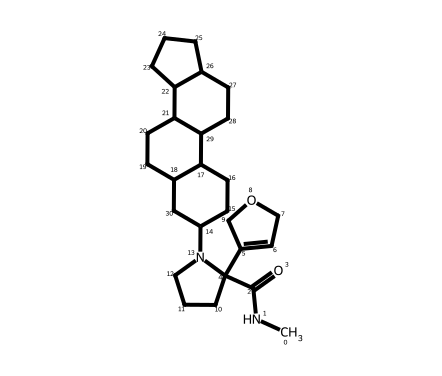 CNC(=O)C1(C2=CCOC2)CCCN1C1CCC2C(CCC3C4CCCC4CCC23)C1